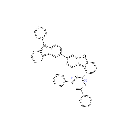 C=C(/N=C(\N=C(/C)c1ccccc1)c1cccc2oc3cc(-c4ccc5c(c4)c4ccccc4n5-c4ccccc4)ccc3c12)c1ccccc1